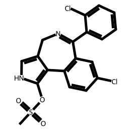 CS(=O)(=O)Oc1[nH]cc2c1-c1ccc(Cl)cc1C(c1ccccc1Cl)=NC2